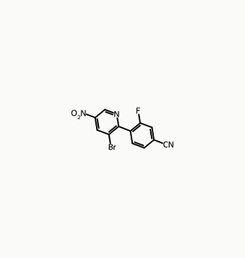 N#Cc1ccc(-c2ncc([N+](=O)[O-])cc2Br)c(F)c1